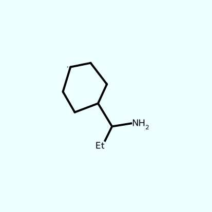 CCC(N)C1CC[CH]CC1